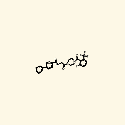 O=C(NCC(=O)N1CCN(C(=O)c2c(F)cccc2C(F)(F)F)CC1)c1ccc(-c2ccccc2)cc1